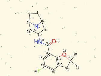 CN1C2CCC1CC(NC(=O)c1cc(F)cc3c1OC(C)(C)C3)C2